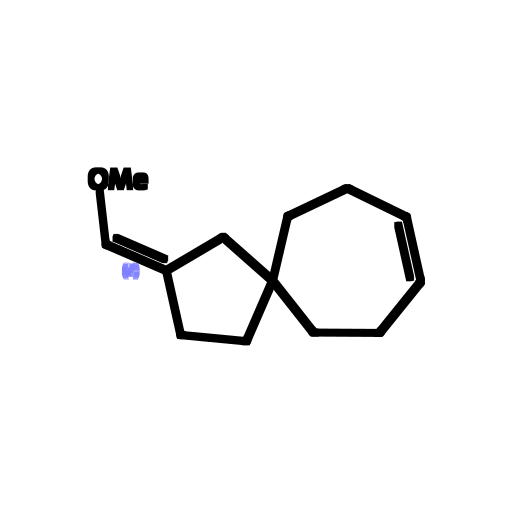 CO/C=C1/CCC2(CCC=CCC2)C1